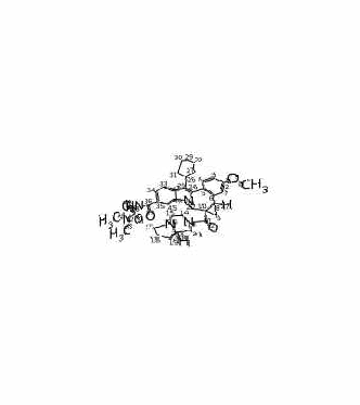 COc1ccc2c(c1)[C@@H]1C[C@]1(C(=O)N1CCN3CCC[C@H]3C1)Cn1c-2c(C2CCCCC2)c2ccc(C(=O)NS(=O)(=O)N(C)C)cc21